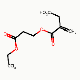 C=C(CC(=O)O)C(=O)OCCC(=O)OCC(Cl)(Cl)Cl